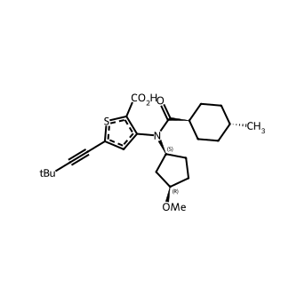 CO[C@@H]1CC[C@H](N(c2cc(C#CC(C)(C)C)sc2C(=O)O)C(=O)[C@H]2CC[C@H](C)CC2)C1